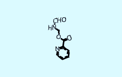 O=CNCOC(=O)c1ccccn1